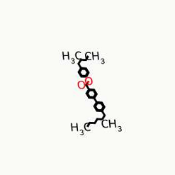 CCCCC(C)Cc1ccc(-c2ccc(C(=O)Oc3ccc(CC(C)CC)cc3)cc2)cc1